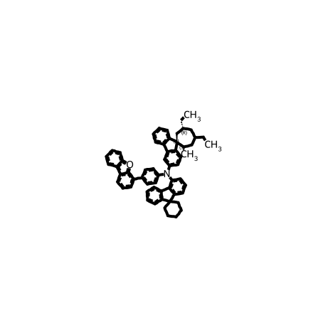 CCC1C[C@@H](CC)C[C@@]2(c3ccccc3-c3cc(N(c4ccc(-c5cccc6c5oc5ccccc56)cc4)c4cccc5c4-c4ccccc4C54CCCCC4)ccc32)[C@@H](C)C1